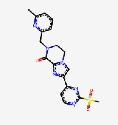 Cc1cccc(CN2CCn3cc(-c4ccnc(S(C)(=O)=O)n4)nc3C2=O)n1